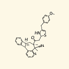 COc1ccc(CC2=CSC(CC(=O)C3(C)C[C@@H]4c5ccccc5C4c4cccnc4C3(C)C#N)N2)cc1